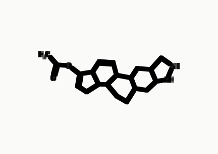 CC(=O)OC1=CCC2C1C=CC1C3CC4CNNC4CC3CCC12